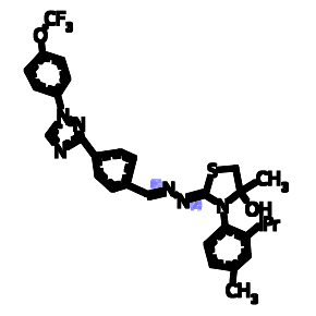 Cc1ccc(N2/C(=N/N=C/c3ccc(-c4ncn(-c5ccc(OC(F)(F)F)cc5)n4)cc3)SCC2(C)O)c(C(C)C)c1